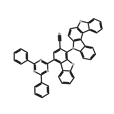 N#Cc1cc(-c2nc(-c3ccccc3)nc(-c3ccccc3)n2)c2c(oc3ccccc32)c1-n1c2ccccc2c2c3c(ccc21)oc1ccccc13